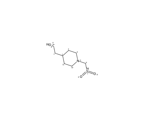 O=C(O)CC1CCN(C[SH](=O)=O)CC1